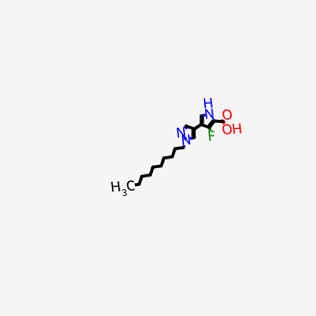 CCCCCCCCCCn1cc(-c2c[nH]c(C(=O)O)c2F)cn1